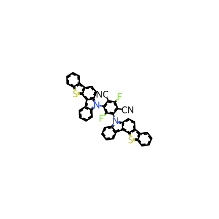 N#Cc1c(F)c(C#N)c(-n2c3ccccc3c3c4sc5ccccc5c4ccc32)c(F)c1-n1c2ccccc2c2c3sc4ccccc4c3ccc21